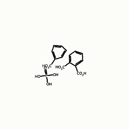 O=C(O)c1ccccc1.O=C(O)c1ccccc1C(=O)O.O=P(O)(O)O